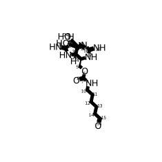 N=C1N[C@H]2[C@H](COC(=O)NCCCCCC=O)NC(=N)N3CCC(O)(O)[C@]23N1